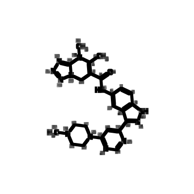 CC1=C(C(=O)Nc2ccc3[nH]nc(-c4cc(N5CCN(C)CC5)ncn4)c3c2)Cn2nnnc2N1C